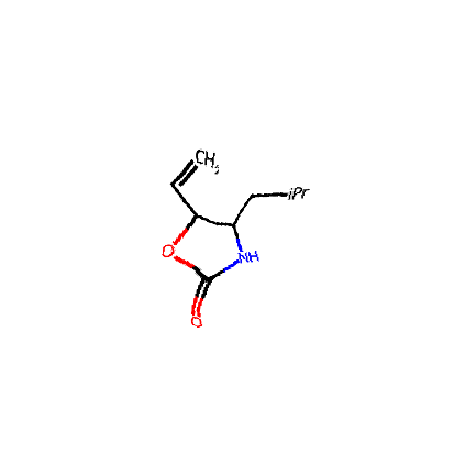 C=CC1OC(=O)NC1CC(C)C